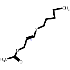 CCCCCS/C=C/COC(C)=O